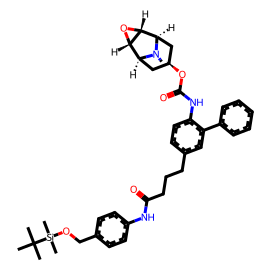 CN1[C@@H]2C[C@@H](OC(=O)Nc3ccc(CCCC(=O)Nc4ccc(CO[Si](C)(C)C(C)(C)C)cc4)cc3-c3ccccc3)C[C@H]1[C@@H]1O[C@@H]12